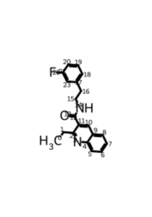 CCc1nc2ccccc2cc1C(=O)NCCc1cccc(F)c1